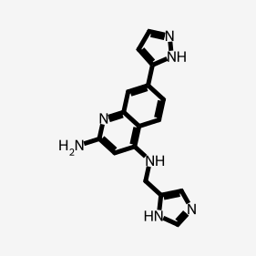 Nc1cc(NCc2cnc[nH]2)c2ccc(-c3ccn[nH]3)cc2n1